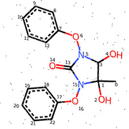 CC1(O)C(O)N(Oc2ccccc2)C(=O)N1Oc1ccccc1